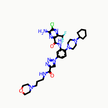 Nc1nc(C(=O)Nc2cc(-n3cc(C(=O)NCCCN4CCOCC4)nn3)ccc2N2CCN(C3CCCCC3)CC2)c(C(F)F)nc1Cl